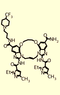 CCn1nc(C)cc1C(=O)Nc1nc2cc(C(N)=O)cc3c2n1C/C=C/Cn1c(NC(=O)c2cc(C)nn2CC)nc2cc(C(=O)NCCCN4CCC(C(F)(F)F)CC4)cc(c21)OCCCO3